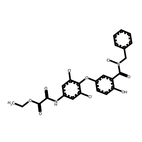 CCOC(=O)C(=O)Nc1cc(Cl)c(Oc2ccc(O)c(C(=O)N(Cl)Cc3ccccc3)c2)c(Cl)c1